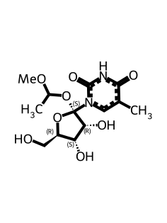 COC(C)O[C@@]1(n2cc(C)c(=O)[nH]c2=O)O[C@H](CO)[C@@H](O)[C@H]1O